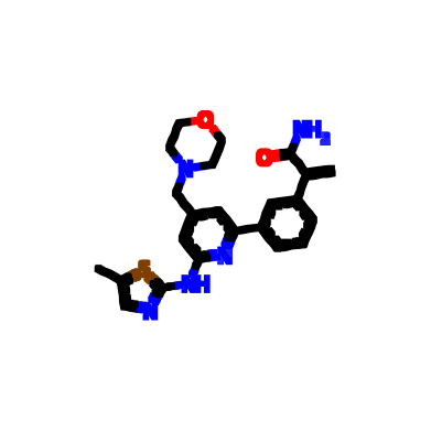 C=C(C(N)=O)c1cccc(-c2cc(CN3CCOCC3)cc(Nc3ncc(C)s3)n2)c1